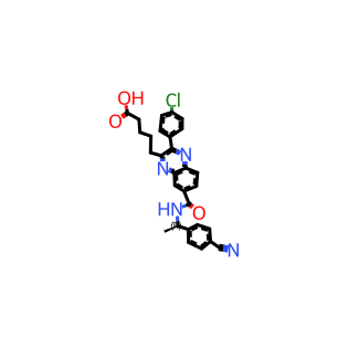 C[C@@H](NC(=O)c1ccc2nc(-c3ccc(Cl)cc3)c(CCCCC(=O)O)nc2c1)c1ccc(C#N)cc1